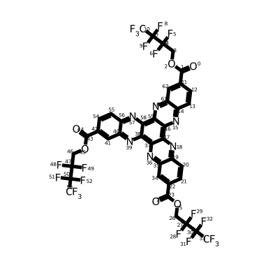 O=C(OCC(F)(F)C(F)(F)C(F)(F)F)c1ccc2nc3c4nc5ccc(C(=O)OCC(F)(F)C(F)(F)C(F)(F)F)cc5nc4c4nc5cc(C(=O)OCC(F)(F)C(F)(F)C(F)(F)F)ccc5nc4c3nc2c1